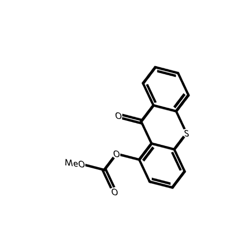 COC(=O)Oc1cccc2sc3ccccc3c(=O)c12